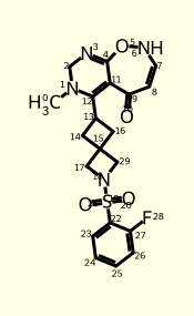 CN1CN=C2ONC=CC(=O)C2=C1C1CC2(C1)CN(S(=O)(=O)c1ccccc1F)C2